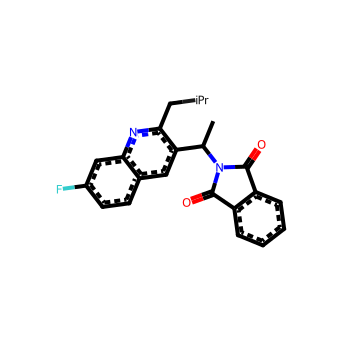 CC(C)Cc1nc2cc(F)ccc2cc1C(C)N1C(=O)c2ccccc2C1=O